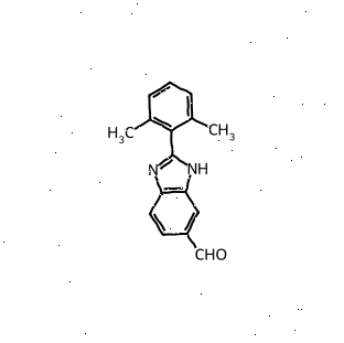 Cc1cccc(C)c1-c1nc2ccc(C=O)cc2[nH]1